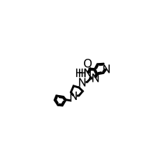 O=c1[nH]c(CNC2CCN(Cc3ccccc3)CC2)nc2cnccc12